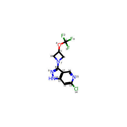 FC(F)(F)OC1CN(c2n[nH]c3cc(Cl)ncc23)C1